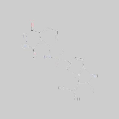 CC(C)=C1C(=O)Nc2ccc(S(=O)(=O)Nc3cccc4c(=O)[nH][nH]c(=O)c34)cc21